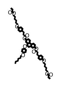 C=CC(=O)OCCCCCCOc1ccc(CCC(=O)Oc2ccc3c(c2)cc(Oc2ccc(OCCCCCC)cc2)c2cc(OC(=O)CCc4ccc(OCCCCCCOC(=O)C=C)cc4)ccc23)cc1